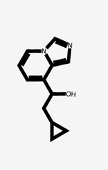 OC(CC1CC1)c1cccn2cncc12